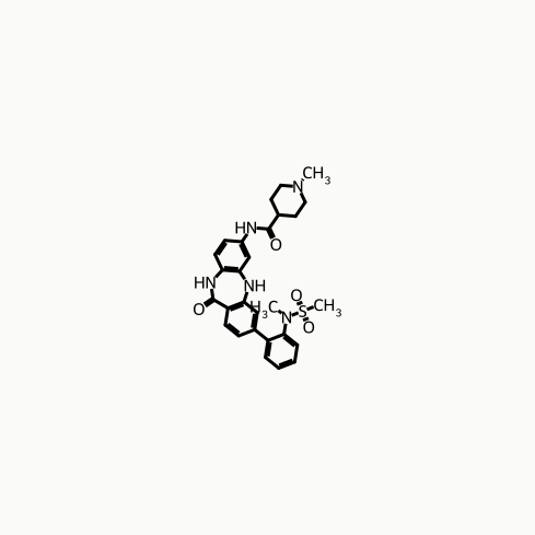 CN1CCC(C(=O)Nc2ccc3c(c2)Nc2cc(-c4ccccc4N(C)S(C)(=O)=O)ccc2C(=O)N3)CC1